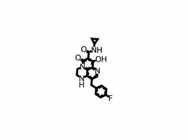 O=C(NC1CC1)c1c(O)c2ncc(Cc3ccc(F)cc3)c3c2n(c1=O)CCN3